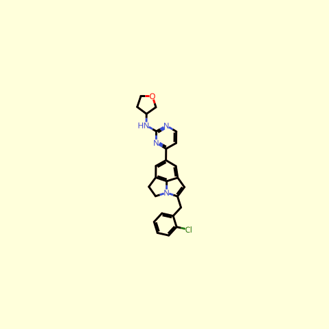 Clc1ccccc1Cc1cc2cc(-c3ccnc(NC4CCOC4)n3)cc3c2n1CC3